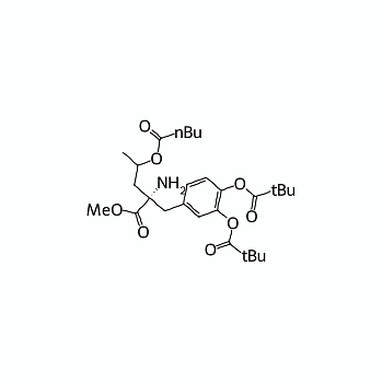 CCCCC(=O)OC(C)C[C@@](N)(Cc1ccc(OC(=O)C(C)(C)C)c(OC(=O)C(C)(C)C)c1)C(=O)OC